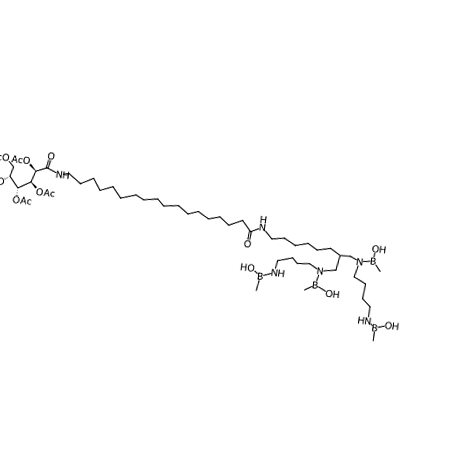 CB(O)NCCCCN(CC(CCCCCCNC(=O)CCCCCCCCCCCCCCCCCNC(=O)[C@H](OC(C)=O)[C@@H](OC(C)=O)[C@H](OC(C)=O)[C@@H](COC(C)=O)OC(C)=O)CN(CCCCNB(C)O)B(C)O)B(C)O